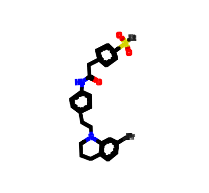 CCS(=O)(=O)c1ccc(CC(=O)Nc2ccc(CCN3CCCc4ccc(C(C)C)cc43)cc2)cc1